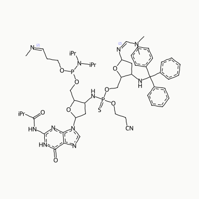 C/N=C\CCOP(OCC1OC(n2cnc3c(=O)[nH]c(NC(=O)C(C)C)nc32)CC1NP(=S)(OCCC#N)OCC1OC(/N=C\N(C)C)CC1NC(c1ccccc1)(c1ccccc1)c1ccccc1)N(C(C)C)C(C)C